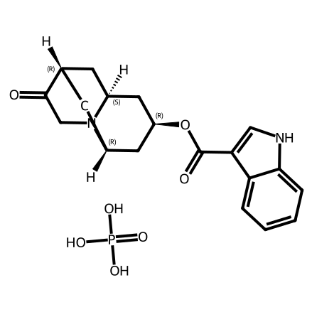 O=C(O[C@@H]1C[C@@H]2C[C@@H]3C[C@H](C1)N2CC3=O)c1c[nH]c2ccccc12.O=P(O)(O)O